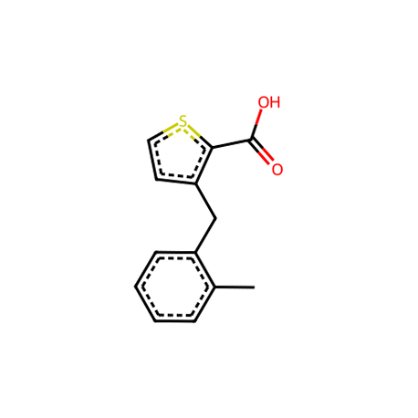 Cc1ccccc1Cc1ccsc1C(=O)O